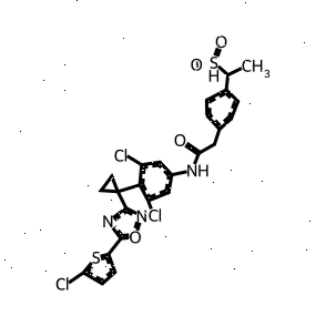 CC(c1ccc(CC(=O)Nc2cc(Cl)c(C3(c4noc(-c5ccc(Cl)s5)n4)CC3)c(Cl)c2)cc1)[SH](=O)=O